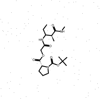 CCC(NC(=O)COC(=O)[C@H]1CCCN1C(=O)OC(C)(C)C)[C@H](C)C(=O)NC